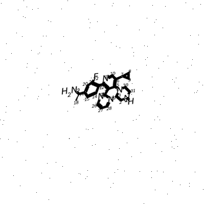 [2H]N1CCN(c2c(C3CC3)cnc(-c3ccc([C@@H](C)N)cc3F)c2-c2ncccn2)CC1